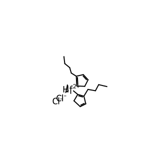 CCCCC1=[C]([Hf+2]2([C]3=C(CCCC)C=CC3)[CH2][CH2]2)CC=C1.[Cl-].[Cl-]